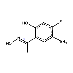 Bc1cc(/C(C)=N/O)c(O)cc1F